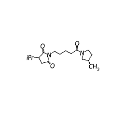 CC(C)C1CC(=O)N(CCCCC(=O)N2CC[C@@H](C)C2)C1=O